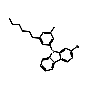 CCCCCCc1cc(C)cc(-n2c3ccccc3c3ccc(Br)cc32)c1